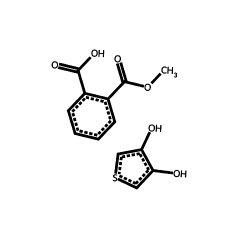 COC(=O)c1ccccc1C(=O)O.Oc1cscc1O